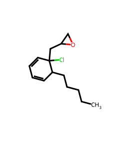 CCCCCC1C=CC=CC1(Cl)CC1CO1